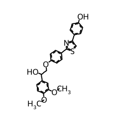 COc1ccc(C(O)COc2ccc(-c3nc(-c4ccc(O)cc4)cs3)cc2)cc1OC